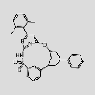 Cc1cccc(C)c1-c1cc2nc(n1)NS(=O)(=O)c1cccc(c1)C1CC(CC(c3ccccc3)C1)O2